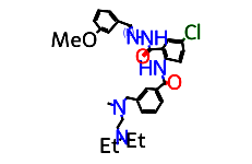 CCN(CC)CCN(C)Cc1cccc(C(=O)Nc2ccc(Cl)cc2C(=O)N/N=C/c2cccc(OC)c2)c1